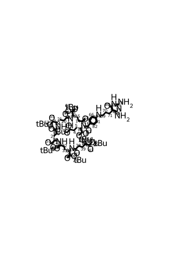 CC(C)(C)OC(=O)CC[C@@H](C(=O)OC(C)(C)C)N(C(=O)CC[C@H](NC(=O)CC[C@H](NC(=O)CC[C@H](NC(=O)CC[C@H](NC(=O)CC[C@H](N)C(=O)OC(C)(C)C)C(=O)OC(C)(C)C)C(=O)OC(C)(C)C)C(=O)OC(C)(C)C)C(=O)OC(C)(C)C)C(=O)c1ccc(NCCCc2c(N)nc(N)[nH]c2=O)cc1